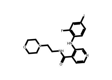 O=C(NCCN1CCOCC1)c1ccncc1Nc1ccc(I)cc1F